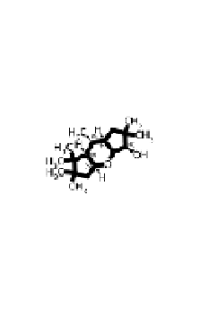 C[C@H]1[C@H]2[C@H](CC(C)(C)C2(C)C)OC2[C@@H]1CC(C)(C)[C@H]2O